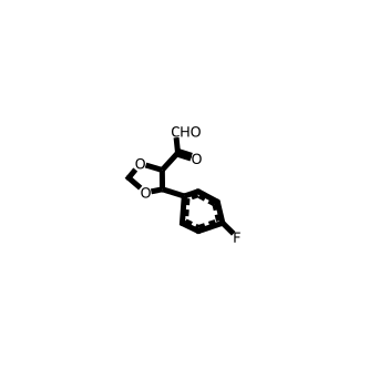 O=CC(=O)C1OCOC1c1ccc(F)cc1